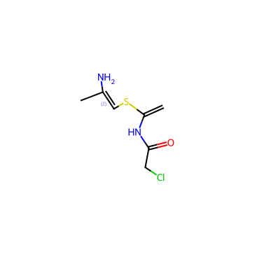 C=C(NC(=O)CCl)S/C=C(/C)N